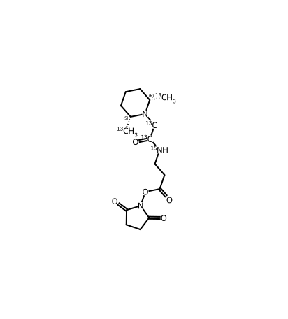 [13CH3][C@@H]1CCC[C@H]([13CH3])N1[13CH2][13C](=O)[15NH]CCC(=O)ON1C(=O)CCC1=O